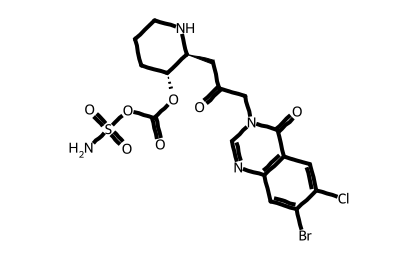 NS(=O)(=O)OC(=O)O[C@@H]1CCCN[C@H]1CC(=O)Cn1cnc2cc(Br)c(Cl)cc2c1=O